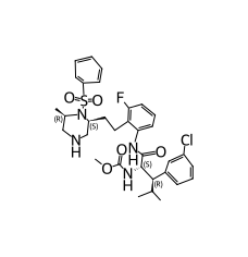 COC(=O)N[C@H](C(=O)Nc1cccc(F)c1CC[C@H]1CNC[C@@H](C)N1S(=O)(=O)c1ccccc1)[C@@H](c1cccc(Cl)c1)C(C)C